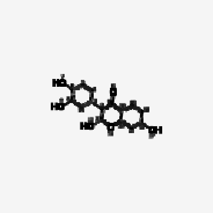 O=c1c(-c2ccc(O)c(O)c2)c(O)oc2cc(O)ccc12